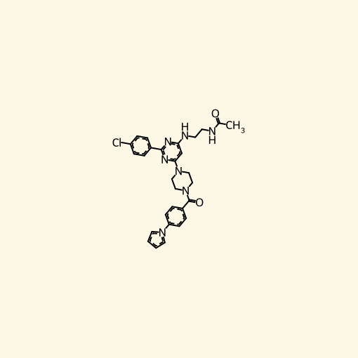 CC(=O)NCCNc1cc(N2CCN(C(=O)c3ccc(-n4cccc4)cc3)CC2)nc(-c2ccc(Cl)cc2)n1